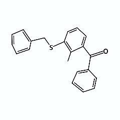 Cc1c(SCc2ccccc2)cccc1C(=O)c1ccccc1